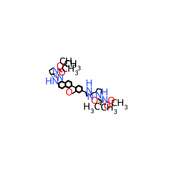 COC(=O)N[C@H](C(=O)N1CCCC1c1ncc(-c2ccc3c(c2)COc2c-3ccc3c2ccc2[nH]c([C@@H]4CCCN4C(=O)OC(C)(C)C)nc23)[nH]1)C(C)C